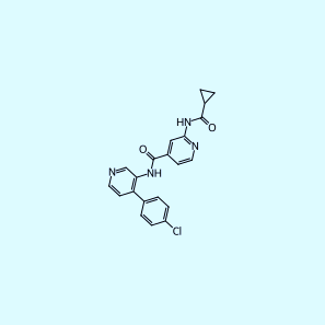 O=C(Nc1cnccc1-c1ccc(Cl)cc1)c1ccnc(NC(=O)C2CC2)c1